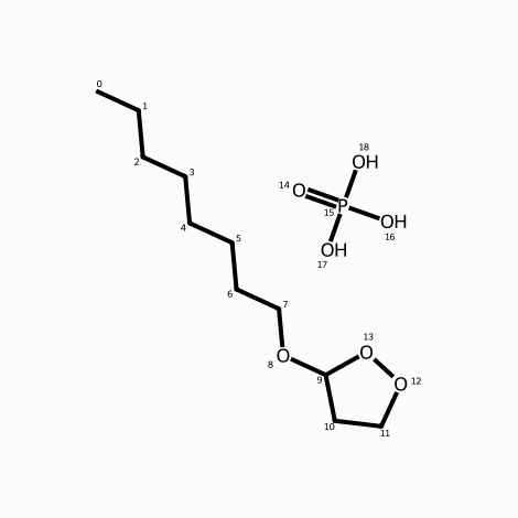 CCCCCCCCOC1CCOO1.O=P(O)(O)O